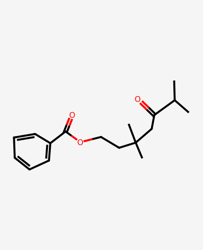 CC(C)C(=O)CC(C)(C)CCOC(=O)c1ccccc1